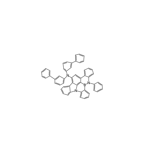 c1ccc(-c2cccc(N(c3cccc(-c4ccccc4)c3)c3cc4c5c6c3c3ccccc3n6-c3ccccc3B5N(c3ccccc3)c3ccccc3-4)c2)cc1